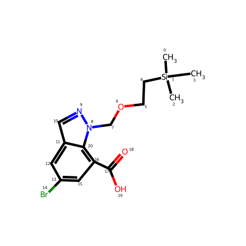 C[Si](C)(C)CCOCn1ncc2cc(Br)cc(C(=O)O)c21